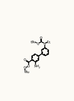 CCN(C(=O)OC(C)(C)C)c1cccc(-c2ccc(C(=O)OOC(C)(C)C)c(N)c2)c1